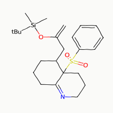 C=C(CC1CCCC2=NCCCC21S(=O)(=O)c1ccccc1)O[Si](C)(C)C(C)(C)C